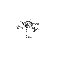 C=CCOC(=O)O[C@H](CCCCCCCCCCC)CCO[C@H]1C(O)O[C@H](CO[C@@H]2O[C@H](COC)[C@@H](OP(=O)(OCC=C)OCC=C)[C@H](OCC[C@@H](CCCCCCC)OC)[C@H]2OC(=O)CCCCCCCCC/C=C\CCCCCC)[C@@H](OC(=O)OCC=C)[C@@H]1OCCCCCCCCCCCC